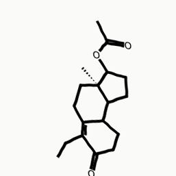 CCC1=C2CC[C@@]3(C)C(OC(C)=O)CCC3C2CCC1=O